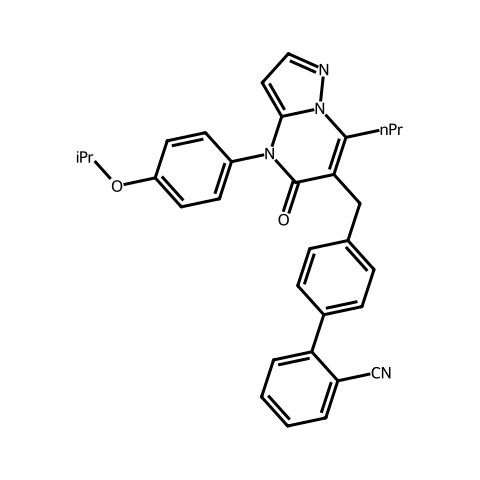 CCCc1c(Cc2ccc(-c3ccccc3C#N)cc2)c(=O)n(-c2ccc(OC(C)C)cc2)c2ccnn12